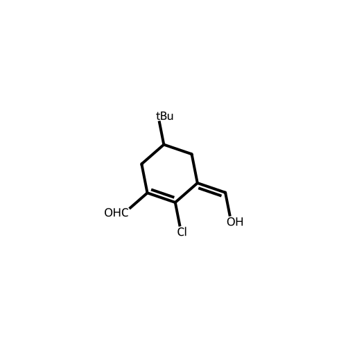 CC(C)(C)C1CC(=CO)C(Cl)=C(C=O)C1